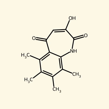 Cc1c(C)c(C)c2c(=O)cc(O)c(=O)[nH]c2c1C